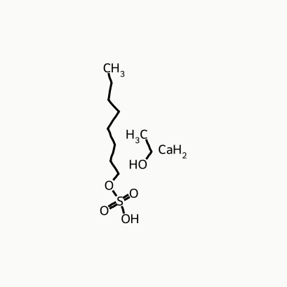 CCCCCCCCOS(=O)(=O)O.CCO.[CaH2]